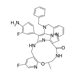 CC1CNC(=O)c2cnn3c(N(Cc4ccccc4)Cc4ccccc4)c(-c4ccc(N)c(F)c4)c(nc23)NCc2cc(F)cnc2O1